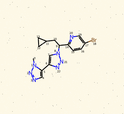 Cn1nncc1-c1cn(C(CC2CC2)c2ccc(Br)cn2)nn1